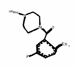 CCCCCN1CCN(C(=O)c2cc(F)ccc2C(F)(F)F)CC1